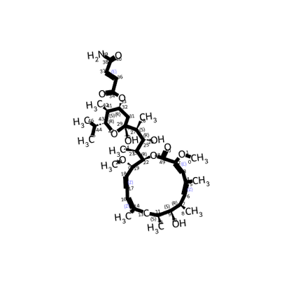 CO/C1=C/C(C)=C\[C@@H](C)[C@@H](O)[C@@H](C)C/C(C)=C\C=C/[C@H](OC)[C@@H]([C@@H](C)[C@@H](O)[C@H](C)[C@@]2(O)C[C@@H](OC(=O)/C=C/C(N)=O)[C@H](C)[C@@H](C(C)C)O2)OC1=O